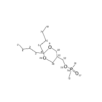 CCCCC1(CCCC)OCC(COP(C)(C)=O)CO1